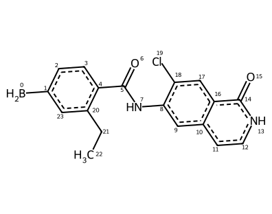 Bc1ccc(C(=O)Nc2cc3cc[nH]c(=O)c3cc2Cl)c(CC)c1